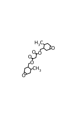 CC1CC2OC2CC1COC(=O)CC(=O)OCC1CC2OC2CC1C